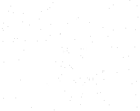 CC1(Cn2c(=O)[nH]c3cnc(Nc4cc5c(cc4Cl)OCC5)nc32)COC1